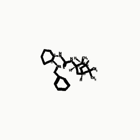 C[C@H]1[C@H]2C[C@H](C[C@H]1NC(=S)N[C@H]1CCCC[C@@H]1NCc1ccccc1)C2(C)C